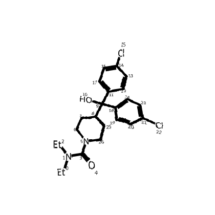 CCN(CC)C(=O)N1CCC(C(O)(c2ccc(Cl)cc2)c2ccc(Cl)cc2)CC1